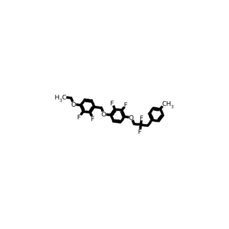 CCOc1ccc(COc2ccc(OCC(F)(F)Cc3ccc(C)cc3)c(F)c2F)c(F)c1F